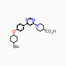 CC(C)(C)C1CCC(Oc2ccc(-c3cc(N4CCC(C(=O)O)CC4)ncn3)cc2)CC1